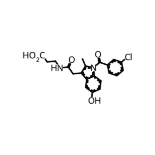 Cc1c(CC(=O)NCCC(=O)O)c2cc(O)ccc2n1C(=O)c1cccc(Cl)c1